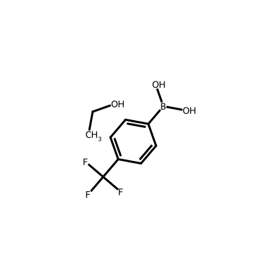 CCO.OB(O)c1ccc(C(F)(F)F)cc1